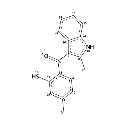 Cc1ccc(C(=O)c2c(C)[nH]c3ccccc23)c(S)c1